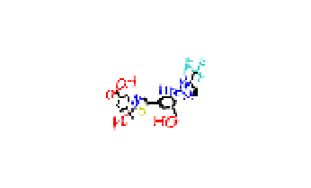 C[C@](O)(c1ncc(-c2cc(CO)cc(Nc3nccc(C(F)(F)F)n3)c2)s1)C1CCC(C(=O)O)CC1